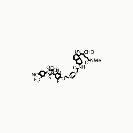 CNC(=O)CCC(C=O)c1noc2ccc3cc(NC(=O)CN4CCN(CCOc5ccc(N6C(=S)N(c7ccc(C#N)c(C(F)(F)F)c7)C(=O)C6(C)C)cc5F)CC4)ccc3c12